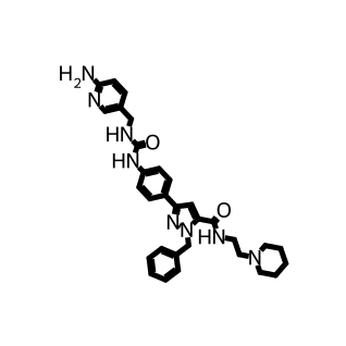 Nc1ccc(CNC(=O)Nc2ccc(-c3cc(C(=O)NCCN4CCCCC4)n(Cc4ccccc4)n3)cc2)cn1